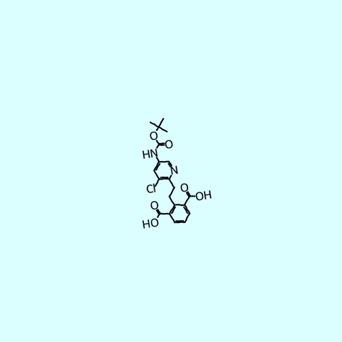 CC(C)(C)OC(=O)Nc1cnc(CCc2c(C(=O)O)cccc2C(=O)O)c(Cl)c1